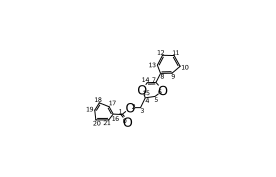 O=C(OCC1COC(c2ccccc2)=CO1)c1ccccc1